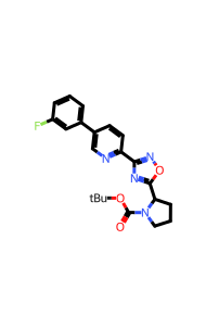 CC(C)(C)OC(=O)N1CCCC1c1nc(-c2ccc(-c3cccc(F)c3)cn2)no1